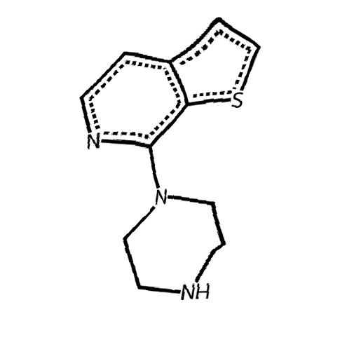 c1cc2ccsc2c(N2CCNCC2)n1